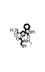 CC(C)C[C@H](N)C(=O)N1C[C@]2(C[C@H]1C(N)=O)C(=O)Nc1ccccc12